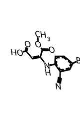 COC(=O)C(=CC(=O)O)Nc1ccc(Br)cc1C#N